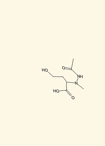 CC(=O)NN(C)C(CCO)C(=O)O